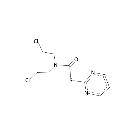 O=C(Sc1ncccn1)N(CCCl)CCCl